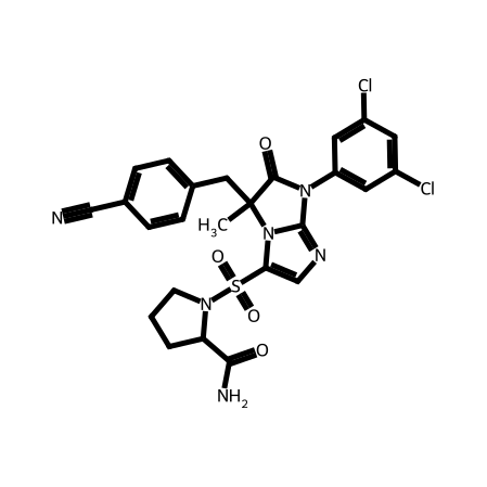 CC1(Cc2ccc(C#N)cc2)C(=O)N(c2cc(Cl)cc(Cl)c2)c2ncc(S(=O)(=O)N3CCCC3C(N)=O)n21